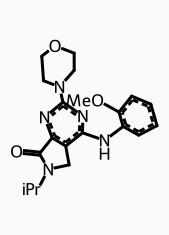 COc1ccccc1Nc1nc(N2CCOCC2)nc2c1CN(C(C)C)C2=O